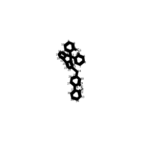 c1ccc2c(c1)Sc1ccccc1C21c2ccccc2-c2ccc(Cc3ccc4c(c3)sc3ccccc34)cc21